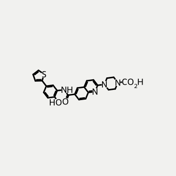 O=C(Nc1cc(-c2cccs2)ccc1O)c1ccc2nc(N3CCN(C(=O)O)CC3)ccc2c1